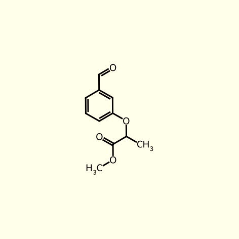 COC(=O)C(C)Oc1cccc(C=O)c1